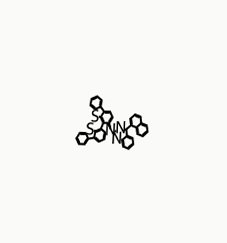 c1ccc2c(-c3nc(-n4c5ccc6c7ccccc7sc6c5c5c6sc7ccccc7c6ccc54)nc4ccccc34)cccc2c1